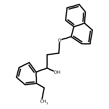 CCc1ccccc1C(O)CCOc1cccc2ccccc12